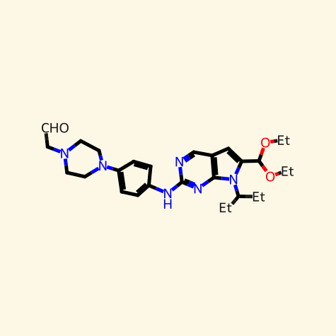 CCOC(OCC)c1cc2cnc(Nc3ccc(N4CCN(CC=O)CC4)cc3)nc2n1C(CC)CC